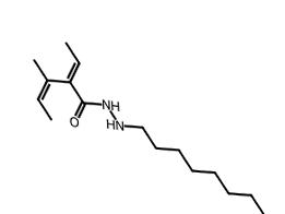 C/C=C(C)\C(=C/C)C(=O)NNCCCCCCCC